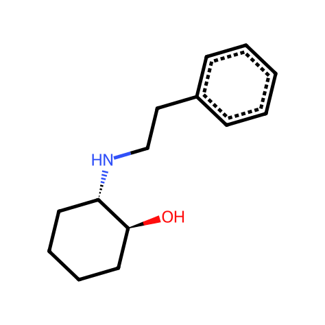 O[C@H]1CCCC[C@@H]1NCCc1ccccc1